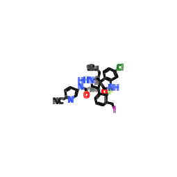 CC(C)(C)C[C@@H]1N[C@@H](C(=O)Nc2ccc(C#N)nc2)[C@H](c2cccc(CI)c2F)[C@]12C(=O)Nc1cc(Cl)ccc12